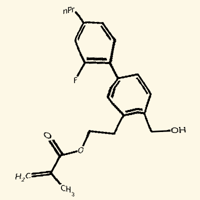 C=C(C)C(=O)OCCc1cc(-c2ccc(CCC)cc2F)ccc1CO